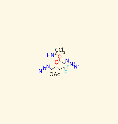 CC(=O)O[C@@H]1[C@@H](CN=[N+]=[N-])O[C@@H](OC(=N)C(Cl)(Cl)Cl)C(N=[N+]=[N-])C1(F)F